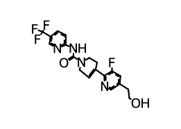 O=C(Nc1ccc(C(F)(F)F)cn1)N1CC=C(c2ncc(CCO)cc2F)CC1